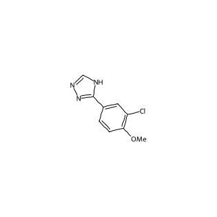 COc1ccc(-c2nnc[nH]2)cc1Cl